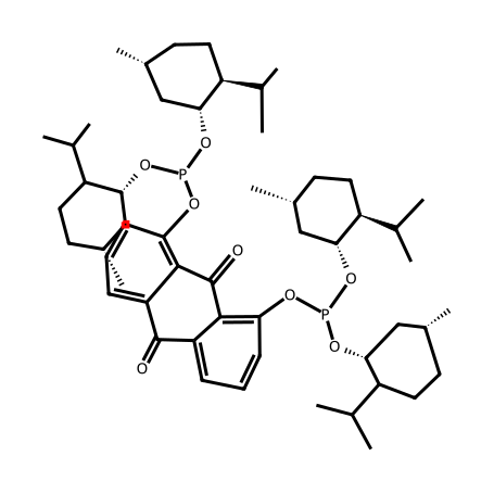 CC(C)C1CC[C@@H](C)C[C@H]1OP(Oc1cccc2c1C(=O)c1c(OP(O[C@@H]3C[C@H](C)CCC3C(C)C)O[C@@H]3C[C@H](C)CC[C@H]3C(C)C)cccc1C2=O)O[C@@H]1C[C@H](C)CC[C@H]1C(C)C